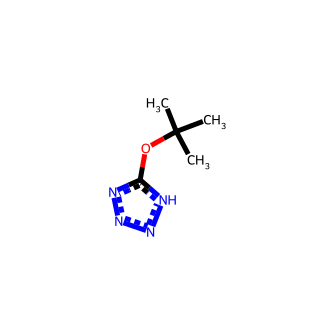 CC(C)(C)Oc1nnn[nH]1